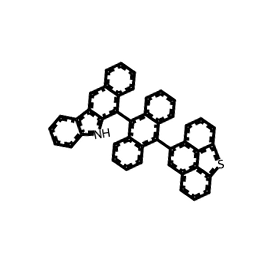 c1ccc2c(-c3c4ccccc4c(-c4cc5cccc6sc7cccc4c7c56)c4ccccc34)c3[nH]c4ccccc4c3cc2c1